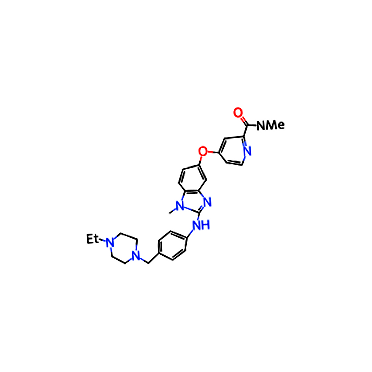 CCN1CCN(Cc2ccc(Nc3nc4cc(Oc5ccnc(C(=O)NC)c5)ccc4n3C)cc2)CC1